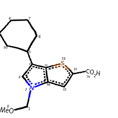 COCn1cc(C2CCCCC2)c2sc(C(=O)O)cc21